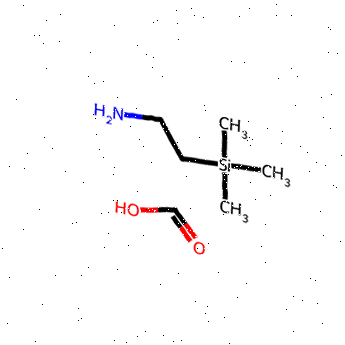 C[Si](C)(C)CCN.O=CO